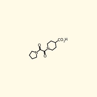 O=C(O)C1CCN(C(=O)C(=O)N2CCCC2)CC1